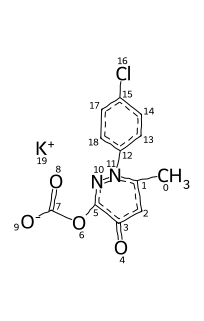 Cc1cc(=O)c(OC(=O)[O-])nn1-c1ccc(Cl)cc1.[K+]